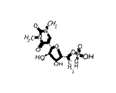 CC(OP(=O)(O)O)[C@H]1O[C@@H](c2cn(C)c(=O)n(C)c2=O)[C@H](O)[C@@H]1O